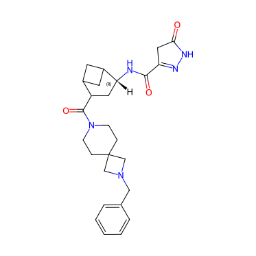 O=C1CC(C(=O)N[C@@H]2CC(C(=O)N3CCC4(CC3)CN(Cc3ccccc3)C4)C3CC2C3)=NN1